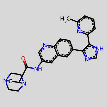 Cc1cccc(-c2[nH]cnc2-c2ccc3ncc(NC(=O)C4CN5CCN4CC5)cc3c2)n1